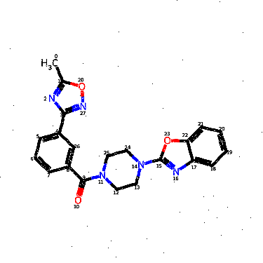 Cc1nc(-c2cccc(C(=O)N3CCN(c4nc5ccccc5o4)CC3)c2)no1